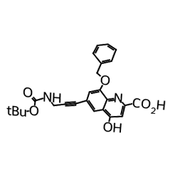 CC(C)(C)OC(=O)NCC#Cc1cc(OCc2ccccc2)c2nc(C(=O)O)cc(O)c2c1